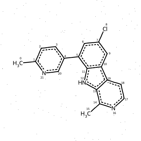 Cc1ccc(-c2cc(Cl)cc3c2[nH]c2c(C)nccc23)cn1